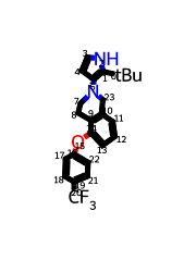 CC(C)(C)c1[nH]ccc1N1CCc2c(cccc2Oc2ccc(C(F)(F)F)cc2)C1